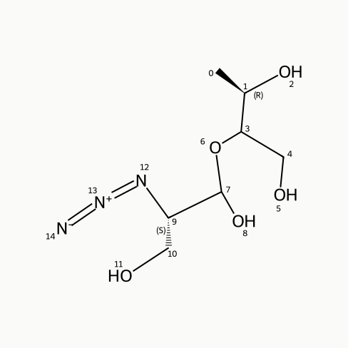 C[C@@H](O)C(CO)OC(O)[C@H](CO)N=[N+]=[N-]